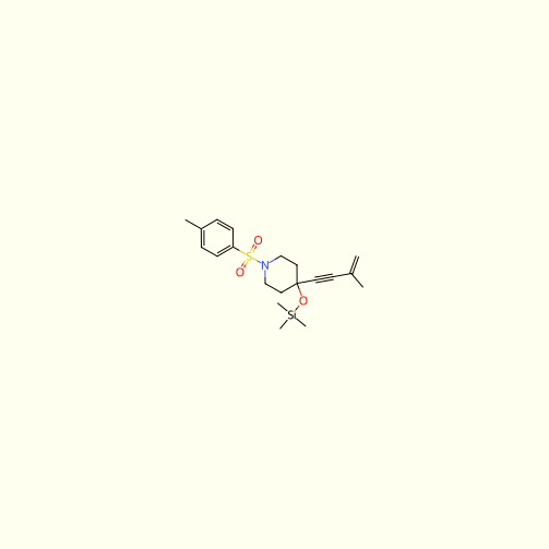 C=C(C)C#CC1(O[Si](C)(C)C)CCN(S(=O)(=O)c2ccc(C)cc2)CC1